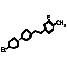 CC[C@H]1CC[C@H](C2CC=C(CCc3ccc(C)c(F)c3)CC2)CC1